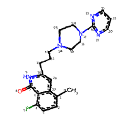 Cc1ccc(F)c2c(=O)[nH]c(CCCN3CCN(c4ncccn4)CC3)cc12